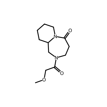 COCC(=O)N1CCC(=O)N2CCCCC2C1